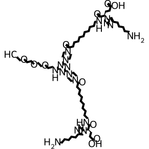 C#CCOCCOCCOCCNc1nc(N2CCN(C(=O)CCCCCCCCCCNC(=O)[C@@H](CCC(=O)O)n3cc(CCCCCN)nn3)CC2)nc(N2CCN(C(=O)CCCCCCCCCCNC(=O)[C@@H](CCC(=O)O)n3cc(CCCCCN)nn3)CC2)n1